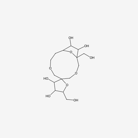 OCC1OC2(COCCC3OC(CO)(COC2)C(O)C3O)C(O)C1O